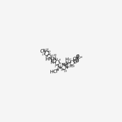 CN(c1ccc2c(c1)nc(NCc1ccc(Cl)cc1)n2C)c1ccnc(Nc2cccc(OS(C)(=O)=O)c2)n1.Cl